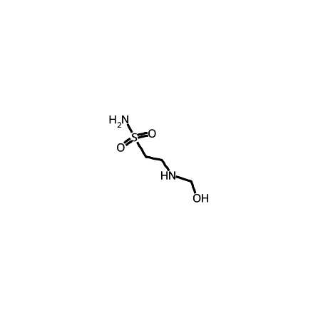 NS(=O)(=O)CCNCO